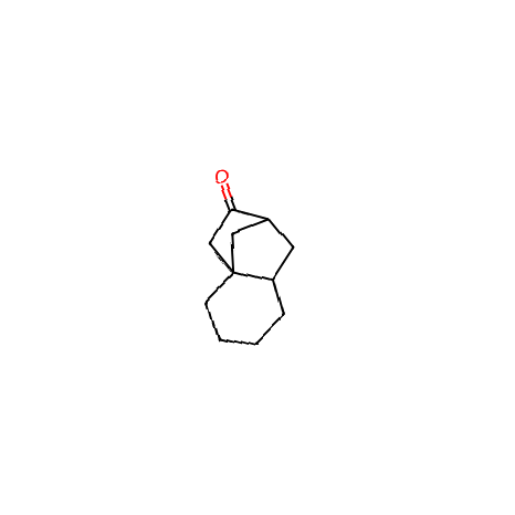 O=C1CC23CCCCC2CC1C3